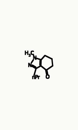 CCCc1nn(C)c2c1C(=O)CCC2